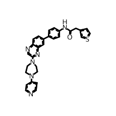 O=C(Cc1ccsc1)Nc1ccc(-c2ccc3ncc(N4CCN(c5ccncc5)CC4)nc3c2)cc1